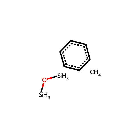 C.[SiH3]O[SiH3].c1ccccc1